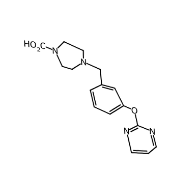 O=C(O)N1CCN(Cc2cccc(Oc3ncccn3)c2)CC1